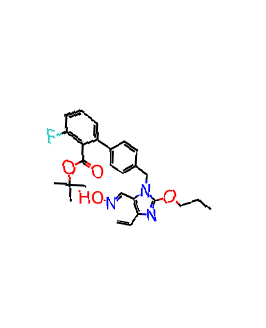 C=Cc1nc(OCCC)n(Cc2ccc(-c3cccc(F)c3C(=O)OC(C)(C)C)cc2)c1C=NO